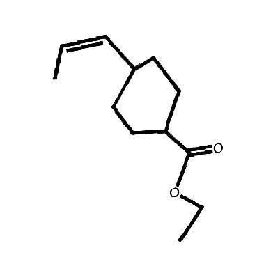 C/C=C\C1CCC(C(=O)OCC)CC1